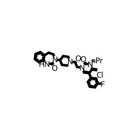 C=C1C(c2cccc(F)c2Cl)=CN(CC(=O)N2CCC(N3CCc4ccccc4NC3=O)CC2)C(=O)N1CCC